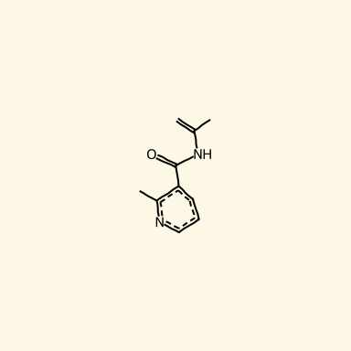 C=C(C)NC(=O)c1cccnc1C